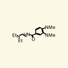 CCN(CC)CCNC(=O)c1ccc(NC)c(NC)c1